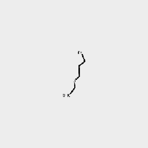 CC(C)CCCOCC=O